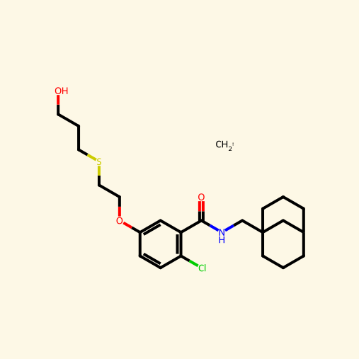 O=C(NCC12CCCC(CCC1)C2)c1cc(OCCSCCCO)ccc1Cl.[CH2]